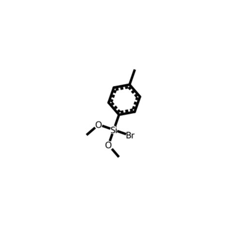 CO[Si](Br)(OC)c1ccc(C)cc1